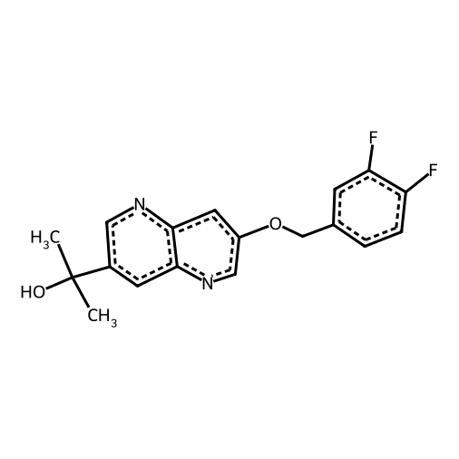 CC(C)(O)c1cnc2cc(OCc3ccc(F)c(F)c3)cnc2c1